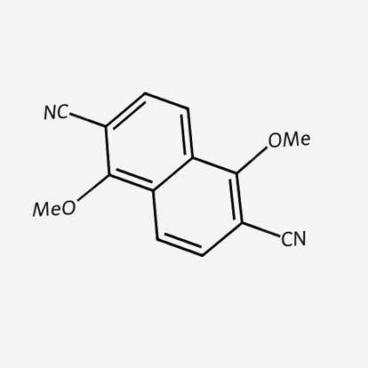 COc1c(C#N)ccc2c(OC)c(C#N)ccc12